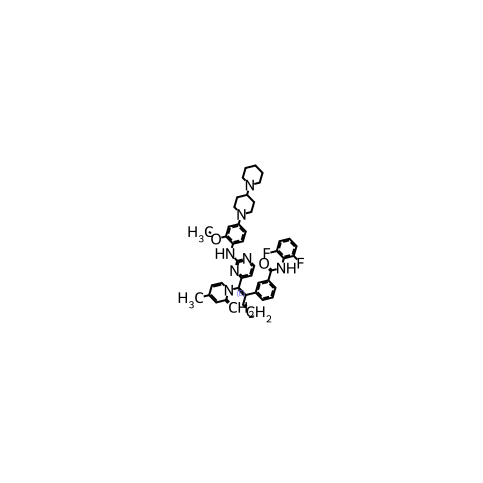 C=C/C(=C(/c1ccnc(Nc2ccc(N3CCC(N4CCCCC4)CC3)cc2OC)n1)N1C=CC(C)=CC1=C)c1cccc(C(=O)Nc2c(F)cccc2F)c1